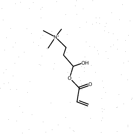 C=CC(=O)OC(O)CC[N+](C)(C)C